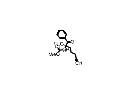 C#CCCC[C@](C)(NC(=O)OC)C(=O)c1ccccc1